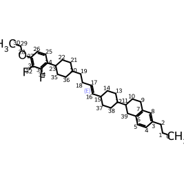 CCCc1ccc2c(c1)CCC(C1CCC(/C=C/CCC3CCC(c4ccc(OCC)c(F)c4F)CC3)CC1)C2